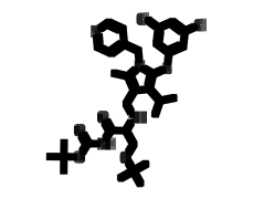 Cc1c(CNC(COC(C)(C)C)C(=O)NC(=O)OC(C)(C)C)c(C(C)C)c(Sc2cc(Cl)cc(Cl)c2)n1Cc1ccncc1